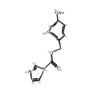 COc1ccc(COC(=O)n2ccnc2)nc1